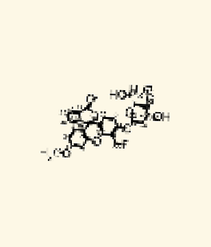 COc1ccc2c(c1)Oc1c(ccc(OC3C[C@@H](O)[C@@H](OC)[C@@H](CO)O3)c1CF)C21OC(=O)c2ccccc21